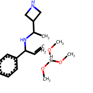 C=CC(NC(C)C1CNC1)c1ccccc1.CO[SiH](OC)OC